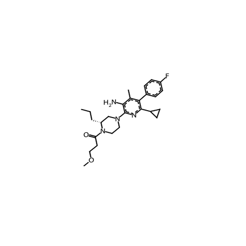 CCC[C@@H]1CN(c2nc(C3CC3)c(-c3ccc(F)cc3)c(C)c2N)CCN1C(=O)CCOC